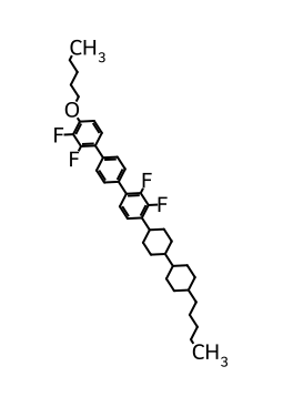 CCCCCOc1ccc(-c2ccc(-c3ccc(C4CCC(C5CCC(CCCCC)CC5)CC4)c(F)c3F)cc2)c(F)c1F